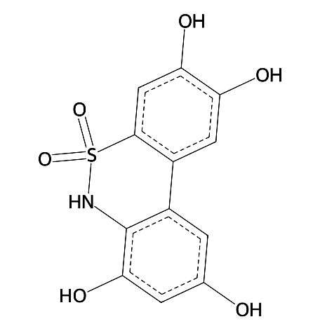 O=S1(=O)Nc2c(O)cc(O)cc2-c2cc(O)c(O)cc21